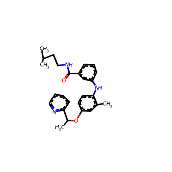 Cc1cc(OC(C)c2ccccn2)ccc1Nc1cccc(C(=O)NCCC(C)C)c1